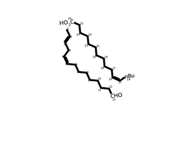 C/C=C/C/C=C\CCCCCCCC=O.CCCC/C=C\CCCCCCCCCC(=O)O